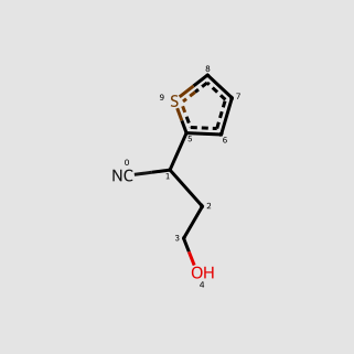 N#CC(CCO)c1cccs1